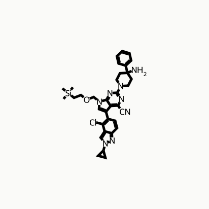 C[Si](C)(C)CCOCn1cc(-c2ccc3nn(C4CC4)cc3c2Cl)c2c(C#N)nc(N3CCC(N)(c4ccccc4)CC3)nc21